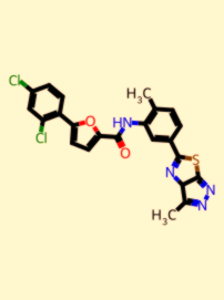 CC1=NN=C2SC(c3ccc(C)c(NC(=O)c4ccc(-c5ccc(Cl)cc5Cl)o4)c3)=NC12